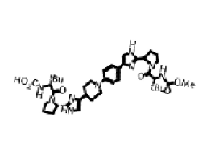 COC(=O)N[C@H](C(=O)N1CCCC1c1nc(-c2ccc(N3CCC(c4c[nH]c([C@@H]5CCCN5C(=O)[C@@H](NC(=O)O)C(C)(C)C)n4)CC3)cc2)c[nH]1)C(C)(C)C